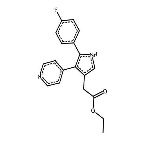 CCOC(=O)Cc1c[nH]c(-c2ccc(F)cc2)c1-c1ccncc1